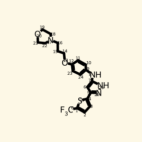 FC(F)(F)c1ccc(-c2cc(Nc3ccc(OCCCN4CCOCC4)cc3)[nH]n2)s1